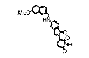 COc1ccc2ccc(CNc3ccc4c(c3)CN(C3CCC(=O)NC3=O)C4=O)cc2c1